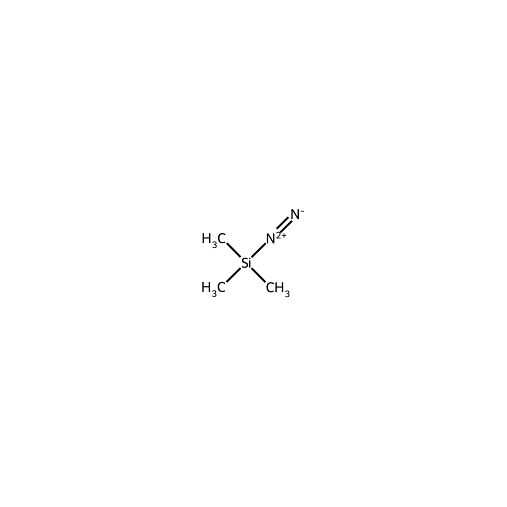 C[Si](C)(C)[N+2]=[N-]